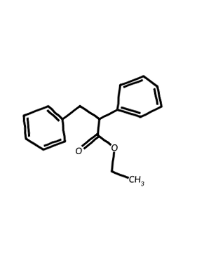 CCOC(=O)C(Cc1ccccc1)c1ccccc1